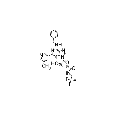 Cc1cncc(-c2nc(NCc3ccccc3)c3ncn([C@@H]4O[C@H](C(=O)NCC(F)(F)F)C[C@H]4O)c3n2)c1